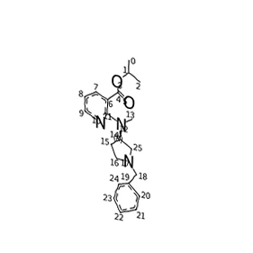 CC(C)OC(=O)c1cccnc1N(C)[C@@H]1CCN(Cc2ccccc2)C1